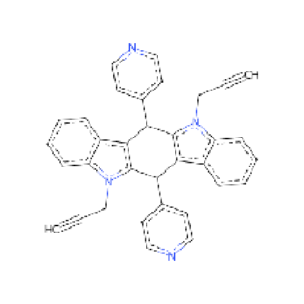 C#CCn1c2c(c3ccccc31)C(c1ccncc1)c1c(c3ccccc3n1CC#C)C2c1ccncc1